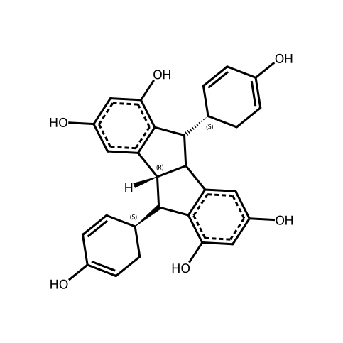 OC1=CC[C@H](C2c3c(O)cc(O)cc3[C@@H]3C2c2cc(O)cc(O)c2C3[C@@H]2C=CC(O)=CC2)C=C1